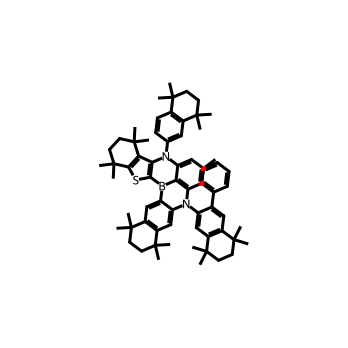 Cc1cc2c3c(c1)N(c1ccc4c(c1)C(C)(C)CCC4(C)C)c1c(sc4c1C(C)(C)CCC4(C)C)B3c1cc3c(cc1N2c1cc2c(cc1-c1ccccc1)C(C)(C)CCC2(C)C)C(C)(C)CCC3(C)C